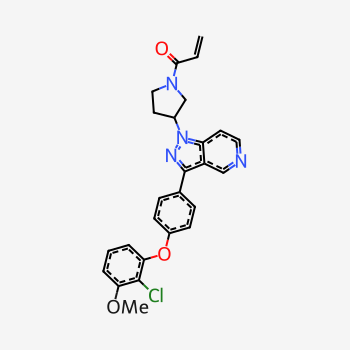 C=CC(=O)N1CCC(n2nc(-c3ccc(Oc4cccc(OC)c4Cl)cc3)c3cnccc32)C1